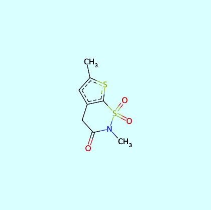 Cc1cc2c(s1)S(=O)(=O)N(C)C(=O)C2